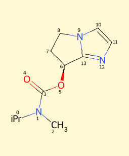 CC(C)N(C)C(=O)O[C@H]1CCn2ccnc21